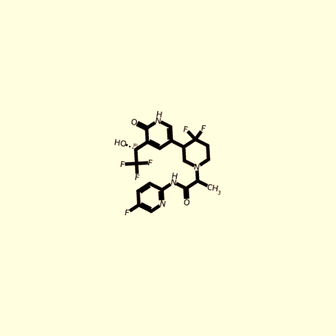 CC(C(=O)Nc1ccc(F)cn1)N1CCC(F)(F)C(c2c[nH]c(=O)c([C@@H](O)C(F)(F)F)c2)C1